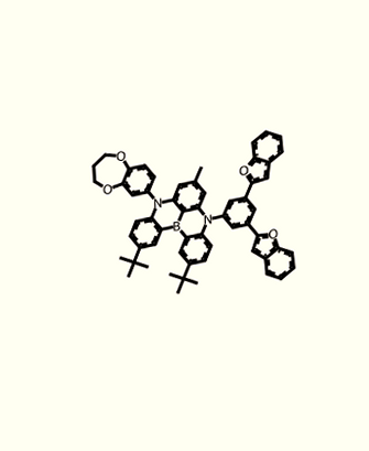 Cc1cc2c3c(c1)N(c1ccc4c(c1)OCCCO4)c1ccc(C(C)(C)C)cc1B3c1cc(C(C)(C)C)ccc1N2c1cc(-c2cc3ccccc3o2)cc(-c2cc3ccccc3o2)c1